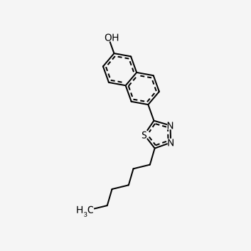 CCCCCCc1nnc(-c2ccc3cc(O)ccc3c2)s1